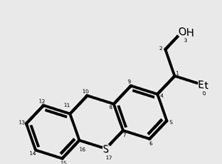 CCC(CO)c1ccc2c(c1)Cc1ccccc1S2